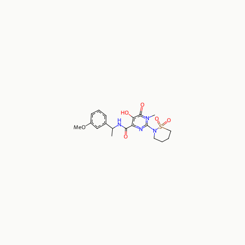 COc1cccc(C(C)NC(=O)c2nc(N3CCCCS3(=O)=O)n(C)c(=O)c2O)c1